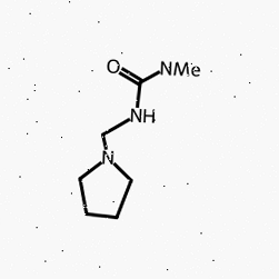 CNC(=O)NCN1CCCC1